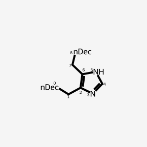 CCCCCCCCCCCc1nc[nH]c1CCCCCCCCCCC